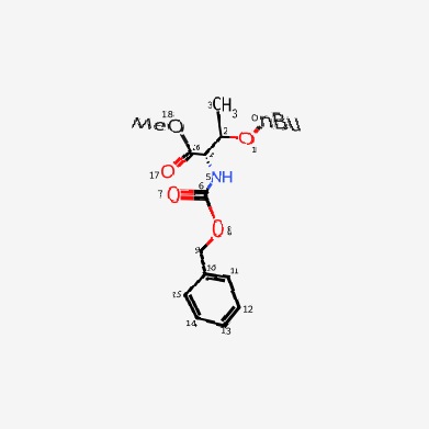 CCCCOC(C)[C@H](NC(=O)OCc1ccccc1)C(=O)OC